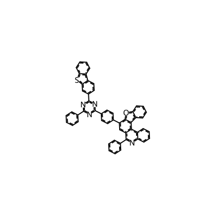 c1ccc(-c2nc(-c3ccc(-c4cc5c(-c6ccccc6)nc6ccccc6c5c5c4oc4ccccc45)cc3)nc(-c3ccc4c(c3)sc3ccccc34)n2)cc1